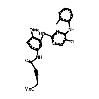 COCC#CC(=O)Nc1ccc(OC)c(Nc2ncc(Cl)c(Nc3ccccc3C)n2)c1